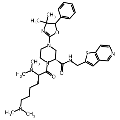 CN(C)CCCC[C@H](C(=O)N1CCN(C2=NC(C)(C)C(c3ccccc3)O2)C[C@H]1C(=O)NCc1cc2cnccc2s1)N(C)C